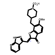 COc1ccc2c(c1CC1CCN(C(=O)O)CC1)O/C(=C\c1n[nH]c3ncccc13)C2=O